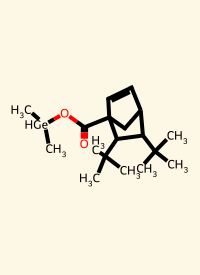 [CH3][GeH]([CH3])[O]C(=O)C12C=CC(C1)C(C(C)(C)C)C2C(C)(C)C